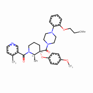 CCC[C@H]1N(C(=O)c2cnccc2C(F)(F)F)CCC[C@@]1(Oc1ccc(OC(F)(F)F)cc1)C(=O)N1CCN(c2ccccc2OCCOC)CC1